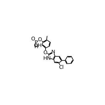 Cc1ccc(Oc2nc3cc(-c4ccccc4)c(Cl)cc3[nH]2)cc1O[PH](=O)O